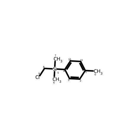 Cc1ccc([Si](C)(C)CCl)cc1